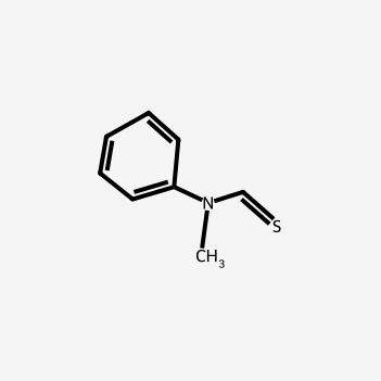 CN(C=S)c1ccccc1